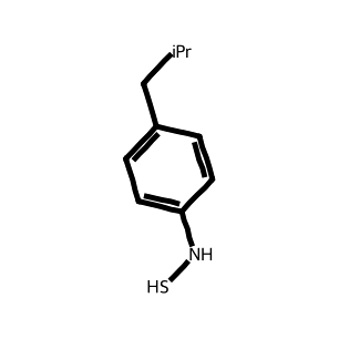 CC(C)Cc1ccc(NS)cc1